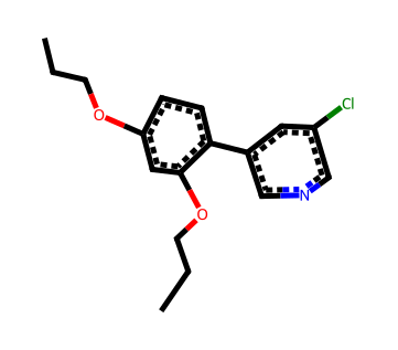 CCCOc1ccc(-c2cncc(Cl)c2)c(OCCC)c1